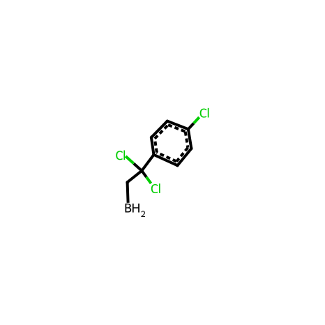 BCC(Cl)(Cl)c1ccc(Cl)cc1